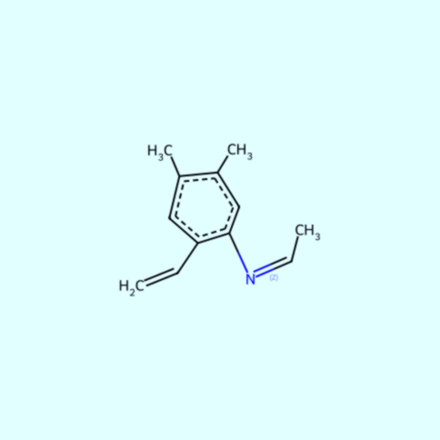 C=Cc1cc(C)c(C)cc1/N=C\C